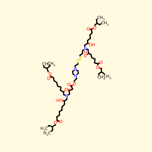 CCC(CC)COC(=O)CCCCCCC(O)CN(CCCC(=O)OCCN1CCN(CCSSCCCN(CC(O)CCCCC(=O)OCC(CC)CC)CC(O)CCCCC(=O)OCC(CC)CC)CC1)CC(O)CCCCCCC(=O)OCC(CC)CC